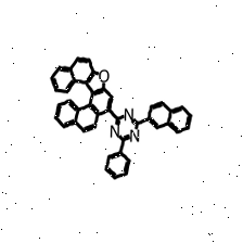 c1ccc(-c2nc(-c3ccc4ccccc4c3)nc(-c3cc4oc5ccc6ccccc6c5c4c4c3ccc3ccccc34)n2)cc1